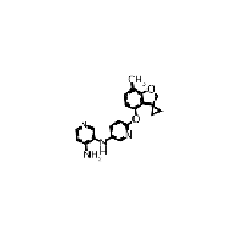 Cc1ccc(Oc2ccc(Nc3cnccc3N)cn2)c2c1OCC21CC1